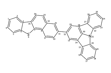 c1ccc2c(c1)sc1c3ccc(-c4cc5c6ccccc6n6c7ccccc7c(c4)c56)cc3ccc21